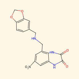 O=c1[nH]c2cc([N+](=O)[O-])cc(CNCc3ccc4c(c3)OCO4)c2[nH]c1=O